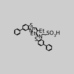 CCC(=Cc1sc2ccc(-c3ccccc3)cc2[n+]1CC)C=C1Sc2ccc(-c3ccccc3)cc2N1CCS(=O)(=O)O